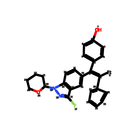 CCC(=C(c1ccc(O)cc1)c1ccc2c(c1)c(F)nn2C1CCCCO1)c1ccccc1